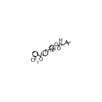 CC1(C)CC1CNC(=O)Oc1ccc(N2CCN(C(=O)c3ccccc3C(F)(F)F)CC2)nn1